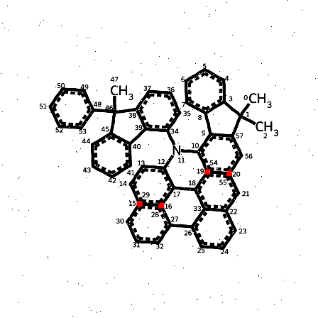 CC1(C)c2ccccc2-c2c(N(c3ccccc3-c3cccc4cccc(-c5ccccc5)c34)c3cccc4c3-c3ccccc3C4(C)c3ccccc3)cccc21